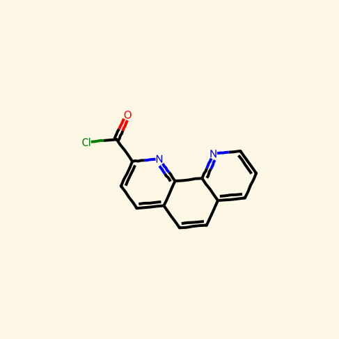 O=C(Cl)c1ccc2ccc3cccnc3c2n1